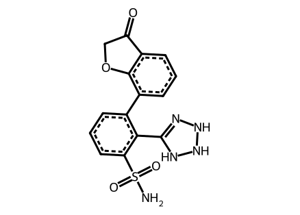 NS(=O)(=O)c1cccc(-c2cccc3c2OCC3=O)c1C1=NNNN1